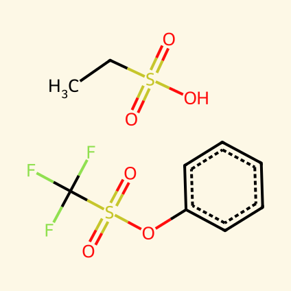 CCS(=O)(=O)O.O=S(=O)(Oc1ccccc1)C(F)(F)F